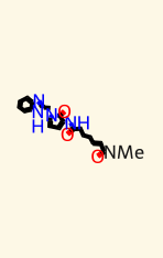 CNC(=O)/C=C/CCCC(=O)Nc1cccn(Cc2nc3ccccc3[nH]2)c1=O